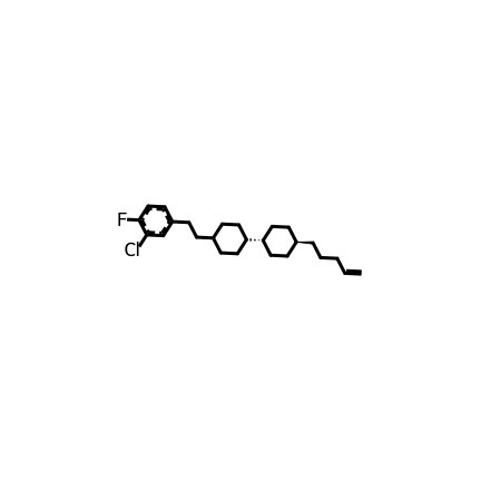 C=CCCC[C@H]1CC[C@H](C2CCC(CCc3ccc(F)c(Cl)c3)CC2)CC1